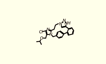 CCCc1nc(Cl)c(COC(C)C)n1Cc1ccc(-c2ccccc2-c2cnn[nH]2)cc1